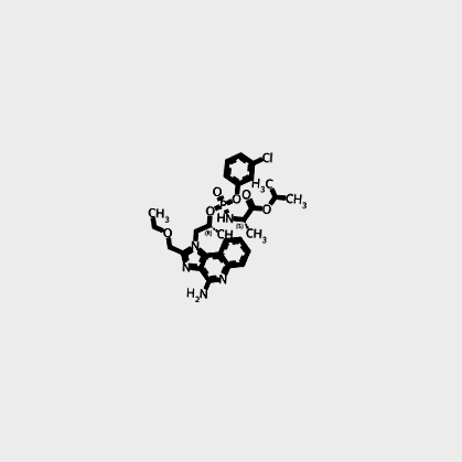 CCOCc1nc2c(N)nc3ccccc3c2n1C[C@@H](C)OP(=O)(N[C@@H](C)C(=O)OC(C)C)Oc1cccc(Cl)c1